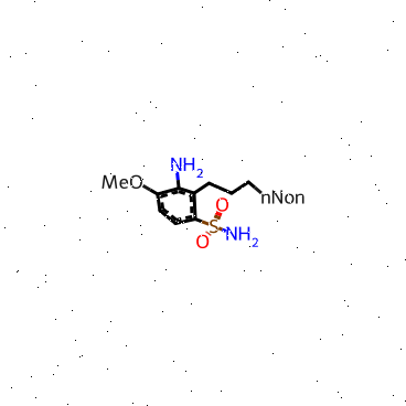 CCCCCCCCCCCCc1c(S(N)(=O)=O)ccc(OC)c1N